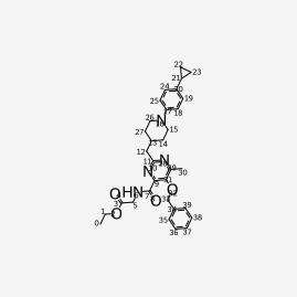 CCOC(=O)CNC(=O)c1nc(CC2CCN(c3ccc(C4CC4)cc3)CC2)nc(C)c1OCc1ccccc1